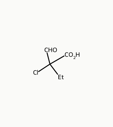 CCC(Cl)(C=O)C(=O)O